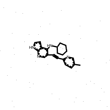 Cc1ccc(C#Cc2cnc3[nH]ccc3c2NC2CCCCC2)nc1